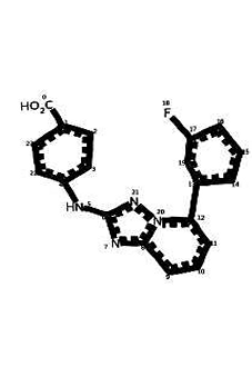 O=C(O)c1ccc(Nc2nc3cccc(-c4cccc(F)c4)n3n2)cc1